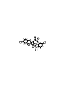 O=C1C[C@]2(C(=O)Nc3ccc(Cl)cc32)c2cnn(Cc3ncc(Cl)cc3Cl)c2N1